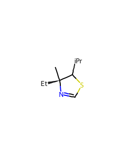 CC[C@]1(C)N=CSC1C(C)C